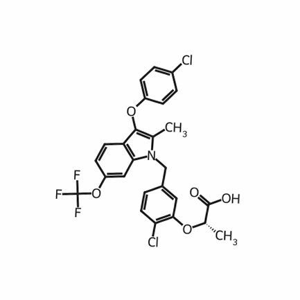 Cc1c(Oc2ccc(Cl)cc2)c2ccc(OC(F)(F)F)cc2n1Cc1ccc(Cl)c(O[C@@H](C)C(=O)O)c1